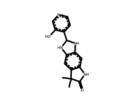 CC1(C)C(=O)Nc2cc3c(cc21)NC(c1ccncc1O)N3